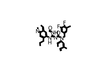 C=C/C(C)=C\C(=C/C)N(Cc1cc(C)c(F)c(F)c1)C(=O)/N=C(\NC=O)NC1=CC(=C/C)/C(=N\C)C=C1CCC